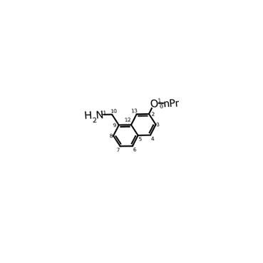 CCCOc1ccc2cccc(CN)c2c1